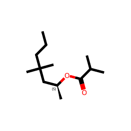 CCCC(C)(C)C[C@H](C)OC(=O)C(C)C